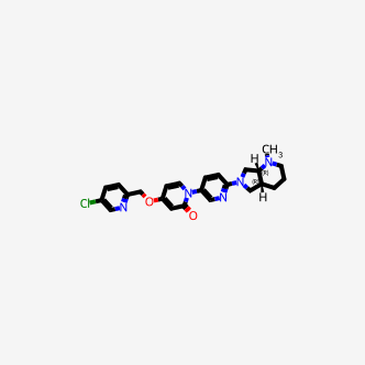 CN1CCC[C@@H]2CN(c3ccc(-n4ccc(OCc5ccc(Cl)cn5)cc4=O)cn3)C[C@@H]21